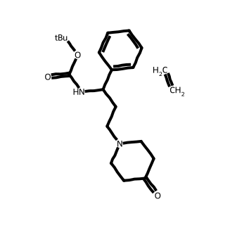 C=C.CC(C)(C)OC(=O)NC(CCN1CCC(=O)CC1)c1ccccc1